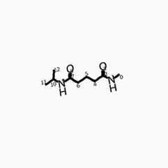 CNC(=O)CCCC(=O)NC(C)C